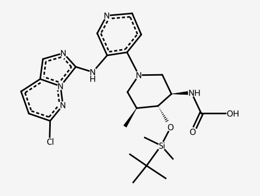 C[C@H]1CN(c2ccncc2Nc2ncc3ccc(Cl)nn23)C[C@@H](NC(=O)O)[C@@H]1O[Si](C)(C)C(C)(C)C